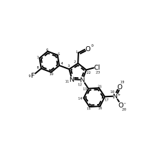 O=Cc1c(-c2cccc(F)c2)nn(-c2cccc([N+](=O)[O-])c2)c1Cl